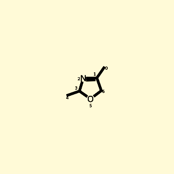 CC1=NC(C)OC1